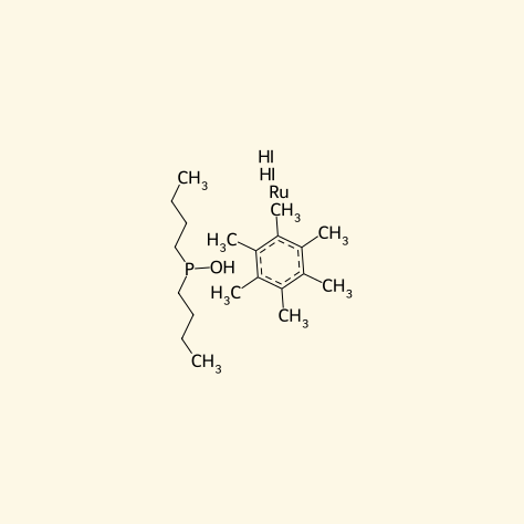 CCCCP(O)CCCC.Cc1c(C)c(C)c(C)c(C)c1C.I.I.[Ru]